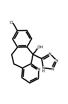 OC1(c2nnn[nH]2)c2ccc(Cl)cc2CCc2cccnc21